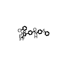 O=C(Nc1ccc(Sc2ccccc2)cc1)c1ccc(-c2cc(C(F)(F)F)nn2-c2ccccc2Cl)cc1